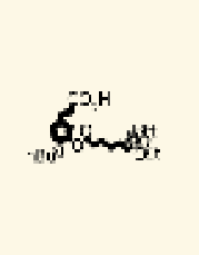 CCCCOc1ccc(C=CC(=O)O)cc1OC(=O)CCCCC[Si](OCC)(OCC)OCC